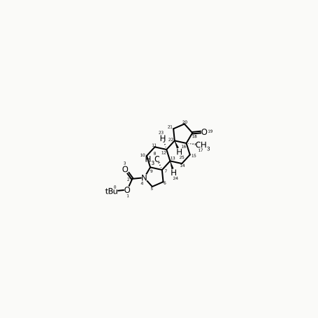 CC(C)(C)OC(=O)N1CC[C@@]2(C)C1CC[C@@H]1[C@@H]2CC[C@]2(C)C(=O)CC[C@@H]12